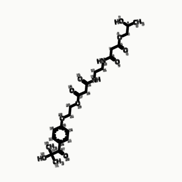 CC(O)COC(=O)CC(=O)NCCNC(=O)CC(=O)OCCOc1ccc(C(=O)C(C)(C)O)cc1